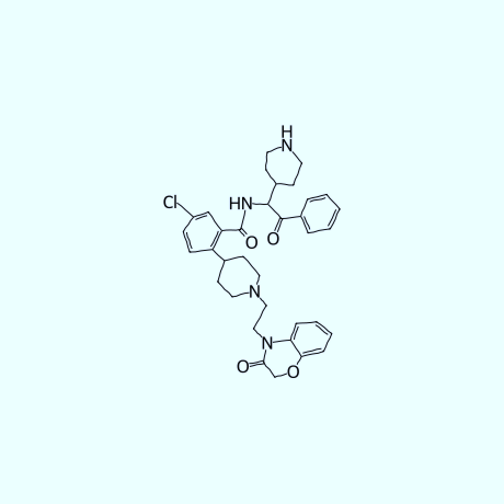 O=C(NC(C(=O)c1ccccc1)C1CCNCC1)c1cc(Cl)ccc1C1CCN(CCN2C(=O)COc3ccccc32)CC1